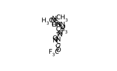 Cc1nn(C)c(C)c1CNc1cc(Cn2nc(-c3nc(-c4ccc(OC(F)(F)F)cc4)no3)cc2C)ccn1